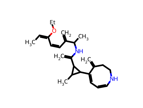 C=C1CCN/C=C\C=C/1C1C(C)C1C(=C)NC(C)C(=C)/C=C\C(=C/C)OCC